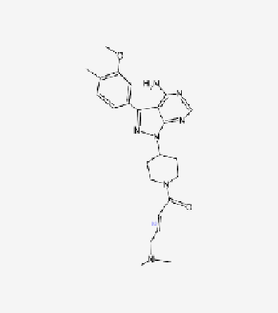 COc1cc(-c2nn(C3CCN(C(=O)/C=C/CN(C)C)CC3)c3ncnc(N)c23)ccc1C